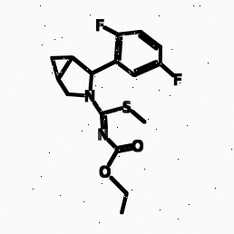 CCOC(=O)/N=C(\SC)N1CC2CC2C1c1cc(F)ccc1F